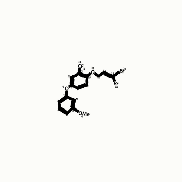 COc1cccc(Oc2ccc(OCC=C(Br)Br)c(C(F)(F)F)c2)c1